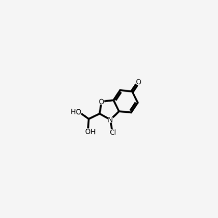 O=C1C=CC2C(=C1)OC(C(O)O)N2Cl